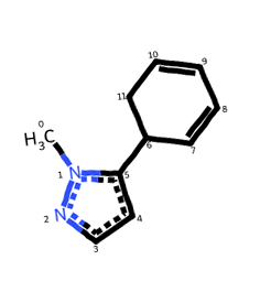 Cn1nccc1C1C=CC=CC1